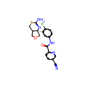 N#Cc1ccc(C(=O)Nc2ccc(F)c([C@]34COCC3CSC(N)=N4)c2)nc1